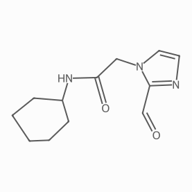 O=Cc1nccn1CC(=O)NC1CCCCC1